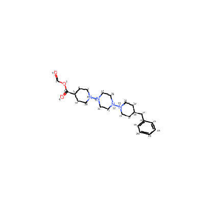 O=COC(=O)C1CCN(N2CCN(N3CCC(Cc4ccccc4)CC3)CC2)CC1